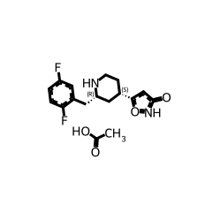 CC(=O)O.O=c1cc([C@H]2CCN[C@@H](Cc3cc(F)ccc3F)C2)o[nH]1